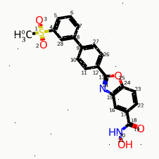 CS(=O)(=O)c1cccc(-c2ccc(-c3nc4cc(C(=O)NO)ccc4o3)cc2)c1